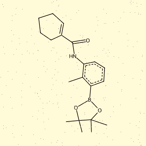 Cc1c(NC(=O)C2=CCCCC2)cccc1B1OC(C)(C)C(C)(C)O1